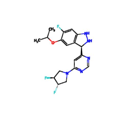 CC(C)Oc1cc2c(cc1F)NN[C@H]2c1cc(N2C[C@H](F)[C@@H](F)C2)ncn1